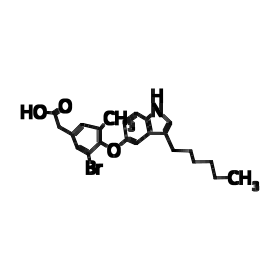 CCCCCCc1c[nH]c2ccc(Oc3c(C)cc(CC(=O)O)cc3Br)cc12